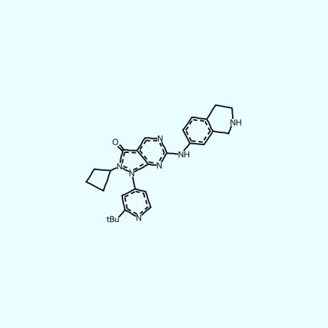 CC(C)(C)c1cc(-n2c3nc(Nc4ccc5c(c4)CNCC5)ncc3c(=O)n2C2CCC2)ccn1